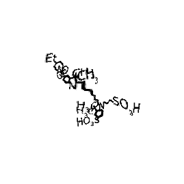 CCC1CCN(S(=O)(=O)c2ccc3c(c2)C(C)(C)C(/C=C/C=C/C=C/C=C2/N(CCCCS(=O)(=O)O)c4ccc(S(=O)(=O)O)cc4C2(C)C)=N3)CC1